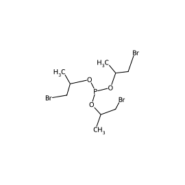 CC(CBr)OP(OC(C)CBr)OC(C)CBr